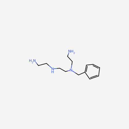 NCCNCCN(CCN)Cc1ccccc1